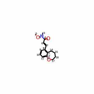 CON(C)C(=O)C=Cc1cccc2c1CCCCO2